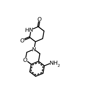 Nc1cccc2c1CN(C1CCC(=O)NC1=O)CO2